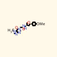 COc1ccc([C@H]2C[C@H](c3noc(Cn4cnc5ncn(C)c5c4=O)n3)CO2)cc1